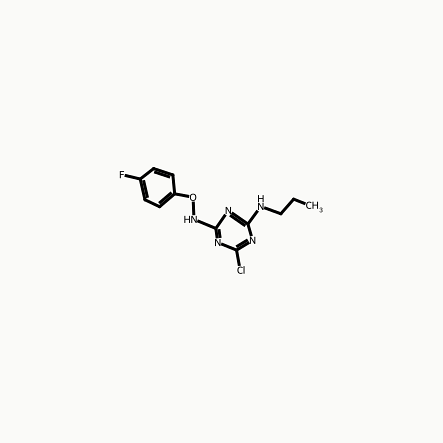 CCCNc1nc(Cl)nc(NOc2ccc(F)cc2)n1